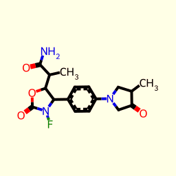 CC1CN(c2ccc(C3C(C(C)C(N)=O)OC(=O)N3F)cc2)CC1=O